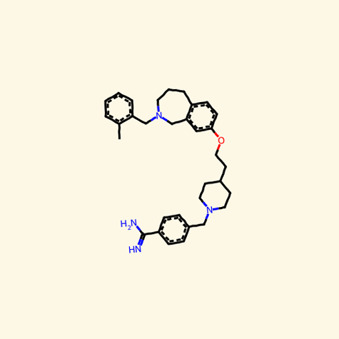 Cc1ccccc1CN1CCCc2ccc(OCCC3CCN(Cc4ccc(C(=N)N)cc4)CC3)cc2C1